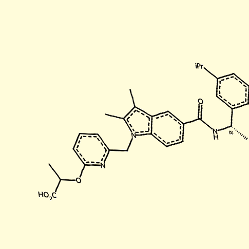 Cc1c(C)n(Cc2cccc(OC(C)C(=O)O)n2)c2ccc(C(=O)N[C@@H](C)c3cccc(C(C)C)c3)cc12